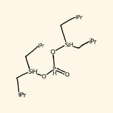 CC(C)C[SiH](CC(C)C)O[PH](=O)O[SiH](CC(C)C)CC(C)C